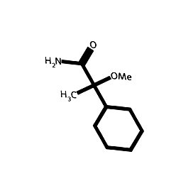 COC(C)(C(N)=O)C1CCCCC1